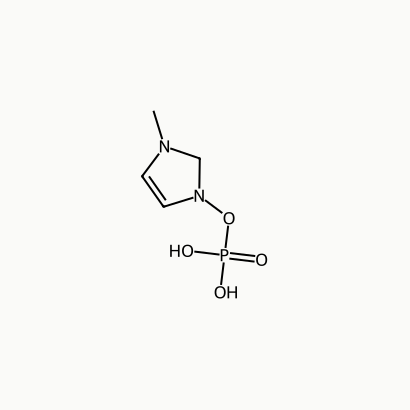 CN1C=CN(OP(=O)(O)O)C1